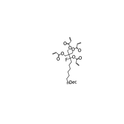 C=CC(=O)OCC(COC(=O)C=C)(COC(=O)C=C)C(F)(CCCCCCCCCCCCCCCC)OC(=O)C=C